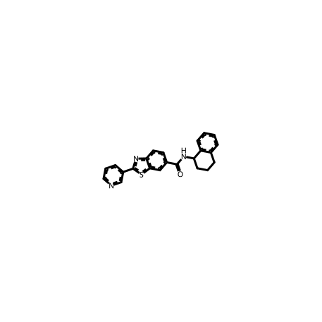 O=C(NC1CCCc2ccccc21)c1ccc2nc(-c3cccnc3)sc2c1